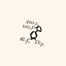 CCOC(=O)c1cccc(-c2ccc(C(=O)O)c(C(=O)O)c2)c1C(=O)OCC